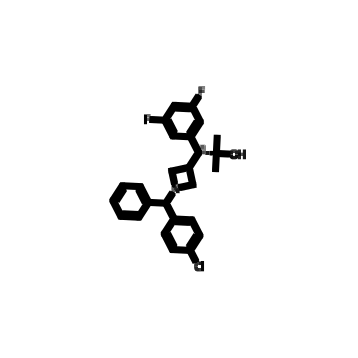 CC(C)(O)[C@@H](c1cc(F)cc(F)c1)C1CN(C(c2ccccc2)c2ccc(Cl)cc2)C1